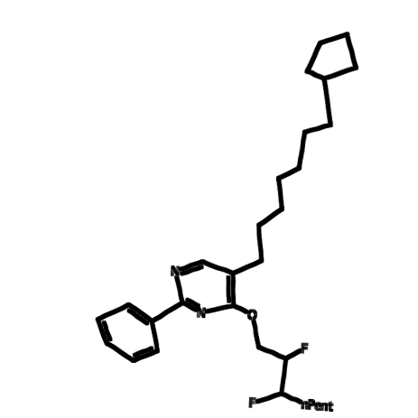 CCCCCC(F)C(F)COc1nc(-c2ccccc2)ncc1CCCCCCCC1CCCC1